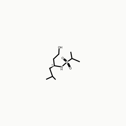 CC(C)C[C@@H](CCO)NS(=O)(=O)C(C)C